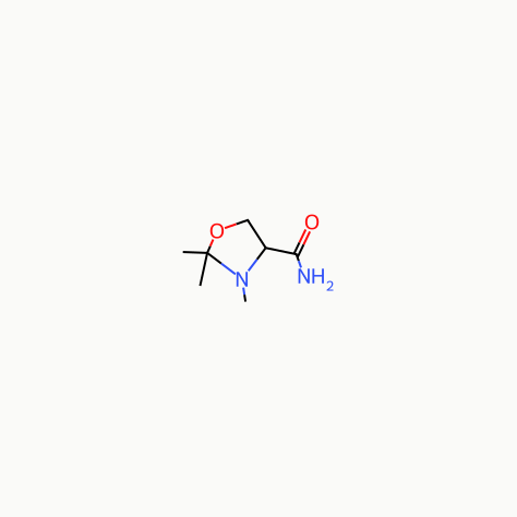 CN1C(C(N)=O)COC1(C)C